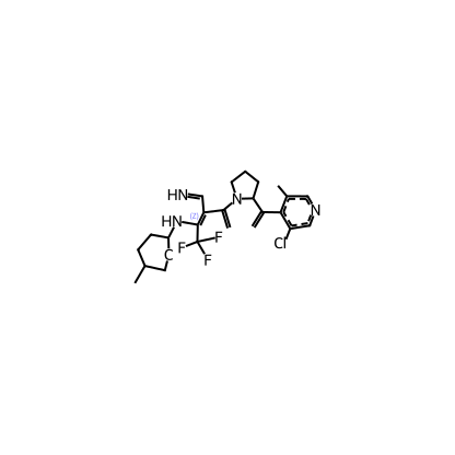 C=C(c1c(C)cncc1Cl)C1CCCN1C(=C)/C(C=N)=C(/NC1CCC(C)CC1)C(F)(F)F